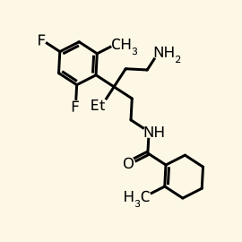 CCC(CCN)(CCNC(=O)C1=C(C)CCCC1)c1c(C)cc(F)cc1F